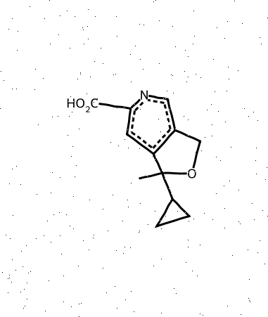 CC1(C2CC2)OCc2cnc(C(=O)O)cc21